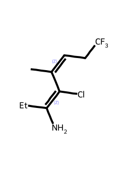 CC/C(N)=C(Cl)\C(C)=C/CC(F)(F)F